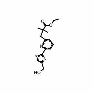 CCOC(=O)C(C)(C)Cc1cccc(-c2nc(CO)cs2)n1